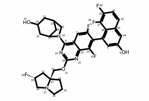 Oc1cc(-c2c(F)cc3c(N4CC5CC(O)CC4C5)nc(OC[C@@]45CCCN4C[C@H](F)C5)nc3c2F)c2c(F)c(F)ccc2c1